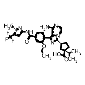 CCOc1cc(C(=O)Nc2cc(C(F)(F)F)n(C)n2)ccc1-c1nc([C@H]2CC[C@@](C(=O)O)(C(C)C)C2)n2ccnc(N)c12